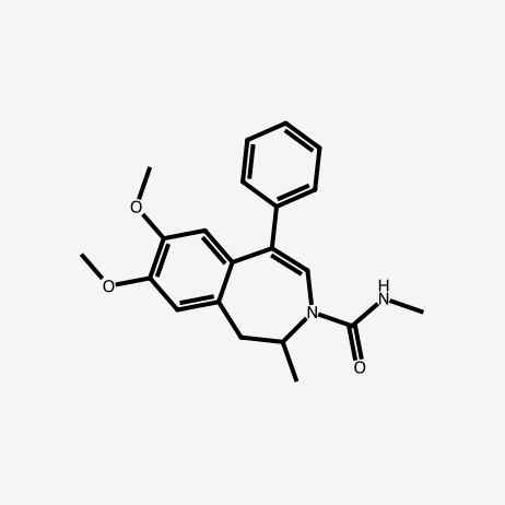 CNC(=O)N1C=C(c2ccccc2)c2cc(OC)c(OC)cc2CC1C